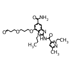 CCCn1c(NC(=O)c2cc(C)nn2CC)nc2cc(C(N)=O)cc(OCCCOCCC=O)c21